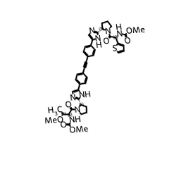 COC(=O)N[C@H](C(=O)N1CCC[C@H]1c1ncc(-c2ccc(C#Cc3ccc(-c4cnc([C@@H]5CCCN5C(=O)[C@H](NC(=O)OC)c5cccs5)[nH]4)cc3)cc2)[nH]1)[C@@H](C)OC